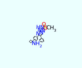 CCS(=O)(=O)Nc1nc2nc(-c3ccc(C4(N)CCC4)cc3)c(-c3ccccc3)cn2n1